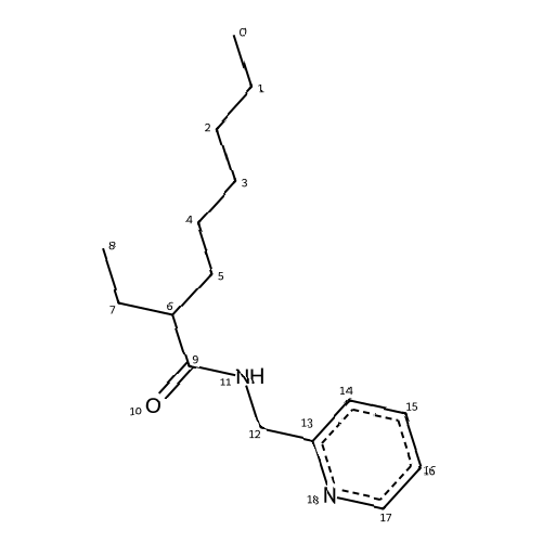 CCCCCCC(CC)C(=O)NCc1ccccn1